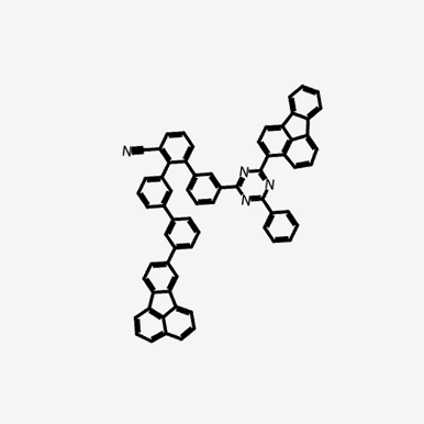 N#Cc1cccc(-c2cccc(-c3nc(-c4ccccc4)nc(-c4ccc5c6c(cccc46)-c4ccccc4-5)n3)c2)c1-c1cccc(-c2cccc(-c3ccc4c(c3)-c3cccc5cccc-4c35)c2)c1